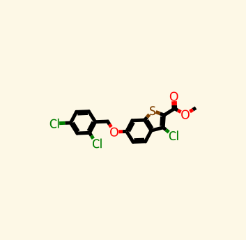 COC(=O)c1sc2cc(OCc3ccc(Cl)cc3Cl)ccc2c1Cl